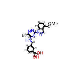 CCc1nnc(-n2ncc3c(COC)cccc32)nc1NCc1cccc(B(O)O)c1